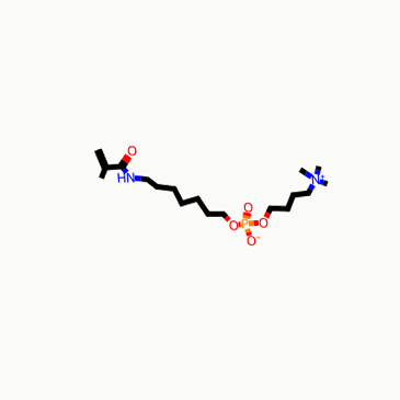 C=C(C)C(=O)NCCCCCCCOP(=O)([O-])OCCCC[N+](C)(C)C